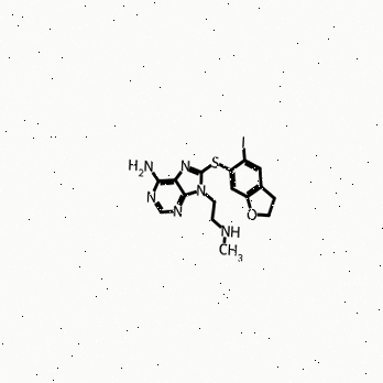 CNCCn1c(Sc2cc3c(cc2I)CCO3)nc2c(N)ncnc21